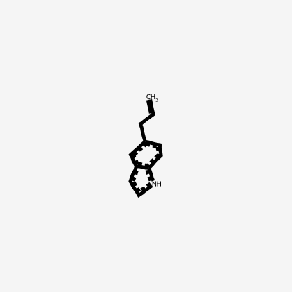 C=CCc1ccc2[nH][c]cc2c1